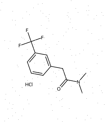 CN(C)C(=O)Cc1cccc(C(F)(F)F)c1.Cl